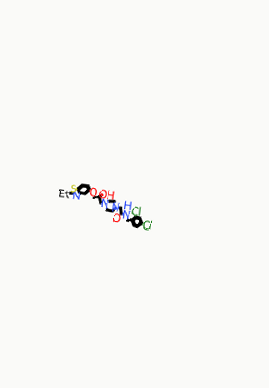 CCc1nc2cc(OCC(O)CN3CCN(CC(=O)NCc4ccc(Cl)cc4Cl)CC3)ccc2s1